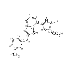 Cc1nc(-c2cccc3cc(Cc4cccc(C(F)(F)F)c4)sc23)sc1C(=O)O